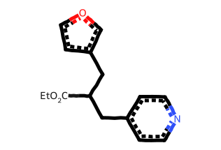 CCOC(=O)C(Cc1ccncc1)Cc1ccoc1